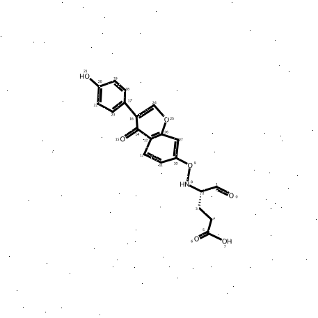 O=C[C@H](CCC(=O)O)NOc1ccc2c(=O)c(-c3ccc(O)cc3)coc2c1